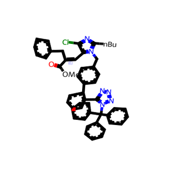 CCCCc1nc(Cl)c(/C=C(\Cc2ccccc2)C(=O)OC)n1Cc1ccc(-c2ccccc2-c2nnnn2C(c2ccccc2)(c2ccccc2)c2ccccc2)cc1